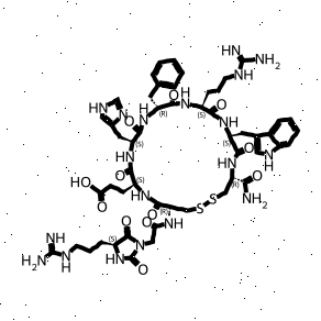 N=C(N)NCCC[C@@H]1NC(=O)[C@@H](Cc2ccccc2)NC(=O)[C@H](Cc2c[nH]cn2)NC(=O)[C@H](CCC(=O)O)NC(=O)[C@@H](NC(=O)CN2C(=O)N[C@@H](CCCNC(=N)N)C2=O)CSSC[C@@H](C(N)=O)NC(=O)[C@H](Cc2c[nH]c3ccccc23)NC1=O